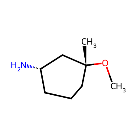 CO[C@]1(C)CCC[C@H](N)C1